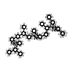 c1ccc(-c2cc(-c3ccc(-c4cccc5nc6n(-c7cc(-c8ccccc8)cc(-c8ccccc8)c7)c7ccccc7n6c45)cc3)cc(-c3cccc(-n4c5ccccc5n5c6cc(-c7cccc(-c8cc(-c9ccccc9)cc(-n9c%10cc(-c%11ccccc%11)ccc%10n%10c%11ccc(-c%12ccccc%12)cc%11nc9%10)c8)c7)ccc6nc45)c3)c2)cc1